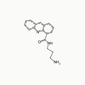 NCCCNC(=O)c1cccc2cc3ccccc3nc12